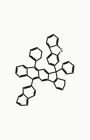 C1=CCCC(c2c3ccccc3c(-c3ccc4ccccc4c3)c3cc4c(cc23)C(c2ccccc2)(c2ccc3c(c2)sc2ccccc23)C2=C4C=CCC2)=C1